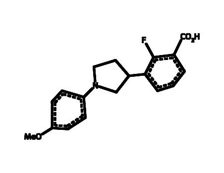 COc1ccc(N2CCC(c3cccc(C(=O)O)c3F)C2)cc1